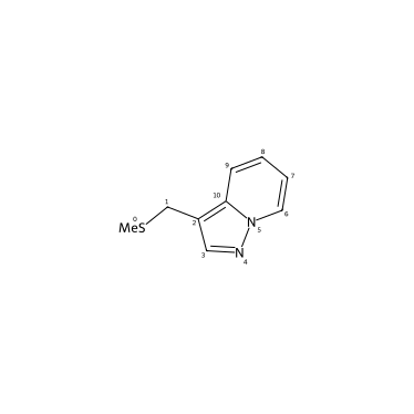 CSCc1cnn2ccccc12